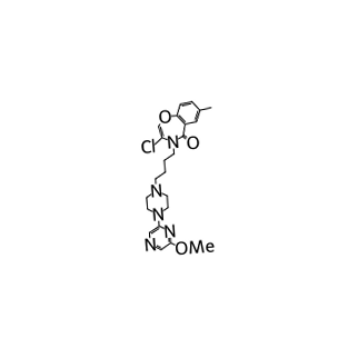 COc1cncc(N2CCN(CCCCN3C(=O)c4cc(C)ccc4OC=C3Cl)CC2)n1